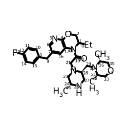 CCC1COc2ncc(Cc3ccc(F)cc3)cc2N1C(=O)CN1C[C@@H](C)NC[C@@H]1CN1[C@H](C)COC[C@H]1C